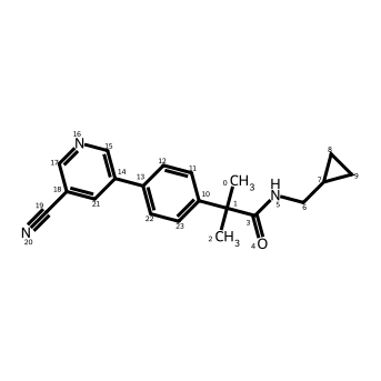 CC(C)(C(=O)NCC1CC1)c1ccc(-c2cncc(C#N)c2)cc1